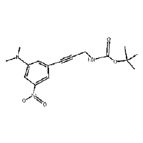 CN(C)c1cc(C#CCNC(=O)OC(C)(C)C)cc([N+](=O)[O-])c1